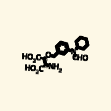 N[C@H](C(=O)O)[C@H](OCc1cccc(N(C=O)C2CCCCC2)c1)C(=O)O